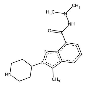 Cc1c2cccc(C(=O)NN(C)C)c2nn1C1CCNCC1